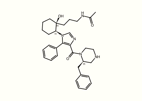 CC(=O)NCCC[C@@]1(O)CCCC[C@@H]1n1cnc(C(=O)N2CCNC[C@H]2Cc2ccccc2)c1-c1ccccc1